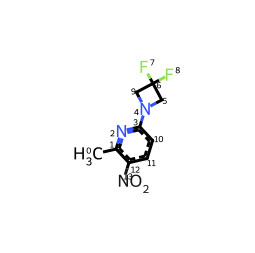 Cc1nc(N2CC(F)(F)C2)ccc1[N+](=O)[O-]